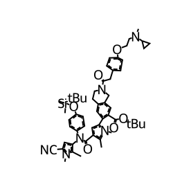 Cc1c(N(C(=O)c2cc(-c3cc4c(cc3C(=O)OC(C)(C)C)CN(C(=O)Cc3ccc(OCCN(C)C5CC5)cc3)CC4)n(C)c2C)c2ccc(O[Si](C)(C)C(C)(C)C)cc2)cc(C#N)n1C